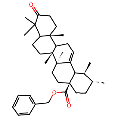 C[C@@H]1CC[C@]2(C(=O)OCc3ccccc3)CC[C@]3(C)C(=CCC4[C@@]5(C)CCC(=O)C(C)(C)C5CC[C@]43C)C2[C@H]1C